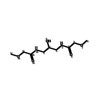 COCC(=O)NCC(O)CNC(=O)COC